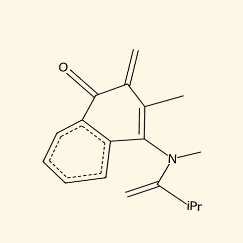 C=C1C(=O)c2ccccc2C(N(C)C(=C)C(C)C)=C1C